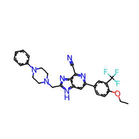 CCOc1ccc(-c2cc3[nH]c(CN4CCN(c5ccccc5)CC4)nc3c(C#N)n2)cc1C(F)(F)F